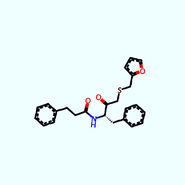 O=C(CCc1ccccc1)N[C@@H](Cc1ccccc1)C(=O)CSCc1ccco1